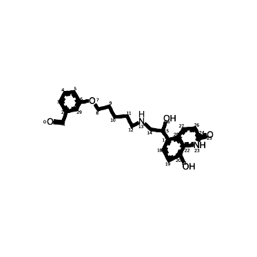 O=Cc1cccc(OCCCCCNCC(O)c2ccc(O)c3[nH]c(=O)ccc23)c1